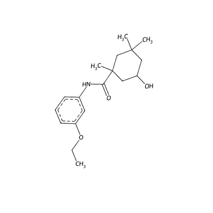 CCOc1cccc(NC(=O)C2(C)CC(O)CC(C)(C)C2)c1